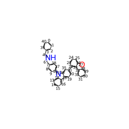 c1ccc(CNCc2ccc(-n3c4ccccc4c4ccc(-c5cccc6oc7ccccc7c56)cc43)cc2)cc1